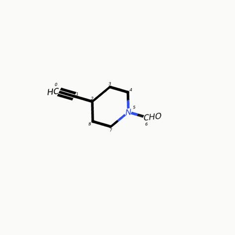 C#CC1CCN(C=O)CC1